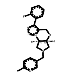 Cc1ccc(CN2C[C@@H]3[C@@H](C2)OCc2c(-c4ccccc4F)nnn23)cn1